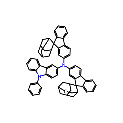 c1ccc(-n2c3ccccc3c3cc(N(c4ccc5c(c4)C4(c6ccccc6-5)C5CCC6CC(C5)CC4C6)c4ccc5c(c4)C4(c6ccccc6-5)C5CC6CC(C5)CC4C6)ccc32)cc1